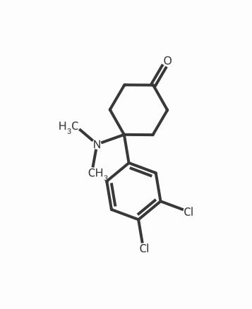 CN(C)C1(c2ccc(Cl)c(Cl)c2)CCC(=O)CC1